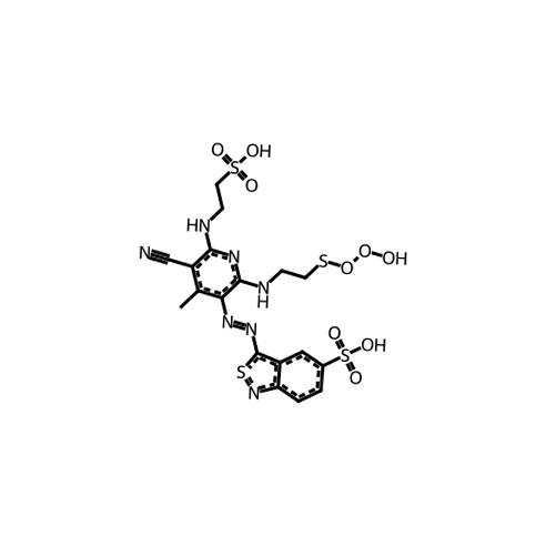 Cc1c(C#N)c(NCCS(=O)(=O)O)nc(NCCSOOO)c1/N=N/c1snc2ccc(S(=O)(=O)O)cc12